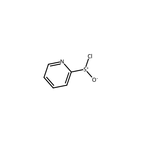 [O-][S+](Cl)c1ccccn1